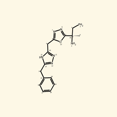 C[C@@](N)(CP)c1nnc(Cc2nnc(Cc3ccccc3)[nH]2)o1